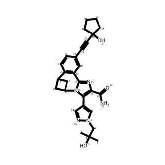 CC(C)(O)Cn1cc(-c2c(C(N)=O)nc3n2C2CC(C2)c2ccc(C#CC4(O)CCCC4)cc2-3)cn1